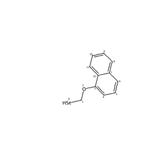 [SeH]COc1cccc2ccccc12